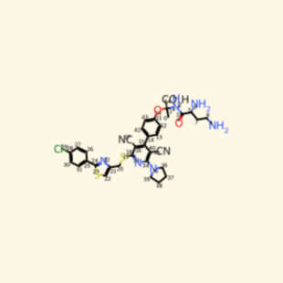 C[C@@](NC(=O)[C@@H](N)CCN)(Oc1ccc(-c2c(C#N)c(SCc3csc(-c4ccc(Cl)cc4)n3)nc(N3CCCC3)c2C#N)cc1)C(=O)O